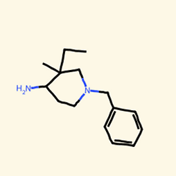 CCC1(C)CN(Cc2ccccc2)CCC1N